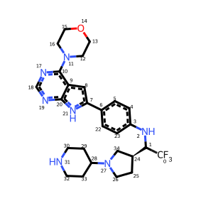 FC(F)(F)C(Nc1ccc(-c2cc3c(N4CCOCC4)ncnc3[nH]2)cc1)[C@H]1CCN(C2CCNCC2)C1